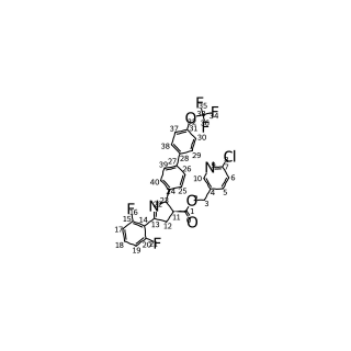 O=C(OCc1ccc(Cl)nc1)[C@H]1CC(c2c(F)cccc2F)=N[C@H]1c1ccc(-c2ccc(OC(F)(F)F)cc2)cc1